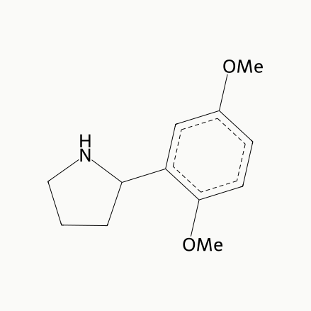 COc1ccc(OC)c(C2CCCN2)c1